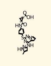 Cc1cc(Nc2nc(Sc3ccc(NC(=O)[C@@H]4C[C@@H]4C(=O)O)cc3)nn3cccc23)n[nH]1